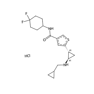 Cl.O=C(NC1CCC(F)(F)CC1)c1csc([C@@H]2C[C@H]2NCC2CC2)c1